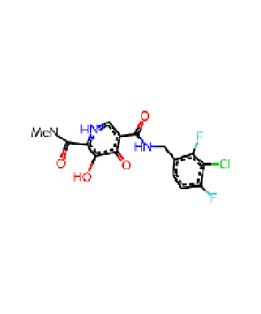 CNC(=O)c1[nH]cc(C(=O)NCc2ccc(F)c(Cl)c2F)c(=O)c1O